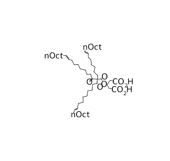 CCCCCCCCC=CCCCCCCCC(=O)C(CCCCCCC=CCCCCCCCC)(C(=O)CCCCCCCC=CCCCCCCCC)C(=O)OC(CC(=O)O)CC(=O)O